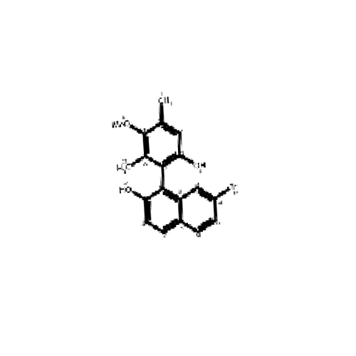 COc1c(C)cc(O)c(-c2c(O)ccc3ccc(Br)cc23)c1C